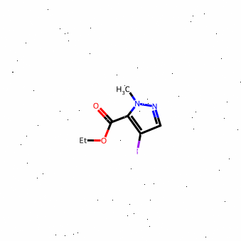 CCOC(=O)c1c(I)cnn1C